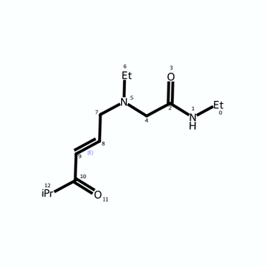 CCNC(=O)CN(CC)C/C=C/C(=O)C(C)C